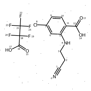 N#CCCNc1cc(Cl)ccc1C(=O)O.O=C(O)C(F)(F)C(F)(F)F